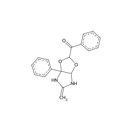 C=C1NC2OC(C(=O)c3ccccc3)OC2(c2ccccc2)N1